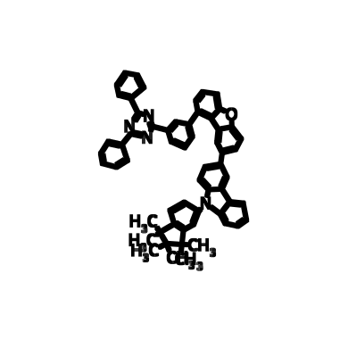 CC1(C)c2ccc(-n3c4ccccc4c4cc(-c5ccc6oc7cccc(-c8cccc(-c9nc(-c%10ccccc%10)nc(-c%10ccccc%10)n9)c8)c7c6c5)ccc43)cc2C(C)(C)C1(C)C